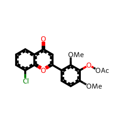 COc1ccc(-c2cc(=O)c3cccc(Cl)c3o2)c(OC)c1OOC(C)=O